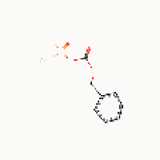 COP(=O)(O)OC(=O)OCc1ccccc1